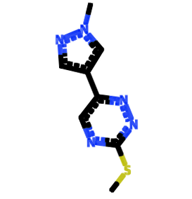 CSc1ncc(-c2cnn(C)c2)nn1